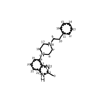 Cc1nc2c(N3CCN(CCc4ccccc4)CC3)cccc2[nH]1